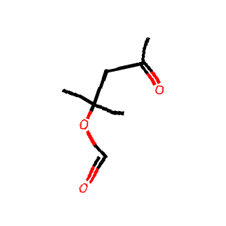 CC(=O)CC(C)(C)OC=O